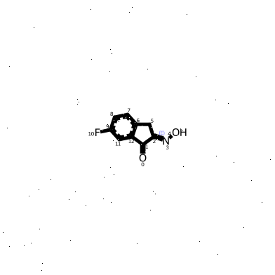 O=C1/C(=N/O)Cc2ccc(F)cc21